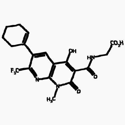 Cn1c(=O)c(C(=O)NCC(=O)O)c(O)c2cc(C3=CCCCC3)c(C(F)(F)F)nc21